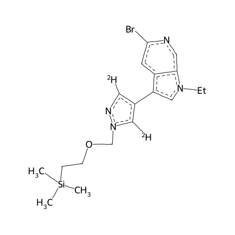 [2H]c1nn(COCC[Si](C)(C)C)c([2H])c1-c1cn(CC)c2cnc(Br)cc12